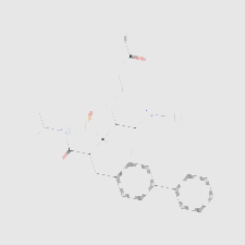 CC(C)C(=O)OCOC(CNC=O)C(O)(P=O)C(Cc1ccc(-c2ccccc2)cc1)C(=O)NC(C)C(=O)O